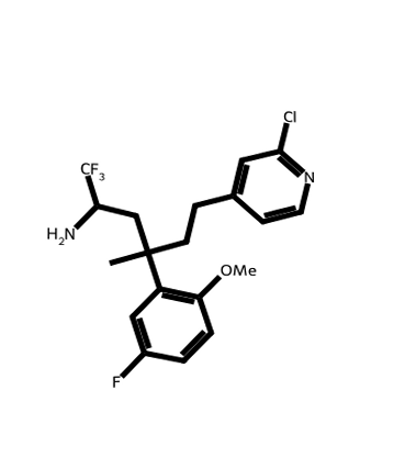 COc1ccc(F)cc1C(C)(CCc1ccnc(Cl)c1)CC(N)C(F)(F)F